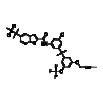 CC#CCOc1cc(OC(F)(F)F)cc(C(C)(C)c2cc(Cl)cc(NC(=O)c3cc4cc(C(C)(C)S(C)(=O)=O)ccc4s3)c2)c1